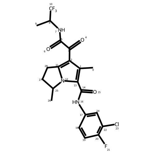 Cc1c(C(=O)C(=O)NC(C)C(F)(F)F)c2n(c1C(=O)Nc1ccc(F)c(Cl)c1)C(C)CC2